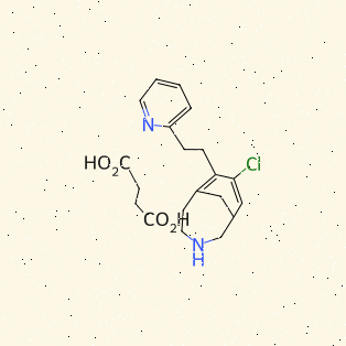 ClC1=CC2CNCCC(=C1CCc1ccccn1)C2.O=C(O)CCC(=O)O